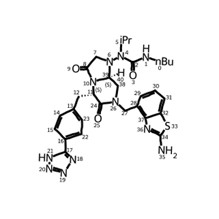 CCCCNC(=O)N(C(C)C)N1CC(=O)N2[C@@H](Cc3ccc(-c4nnn[nH]4)cc3)C(=O)N(Cc3cccc4sc(N)nc34)C[C@@H]21